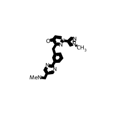 CNCc1cnc(-c2cccc(Cc3nn(-c4cnn(C)c4)ccc3=O)c2)nc1